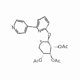 CC(=O)O[C@@H]1[C@@H](OC(C)=O)[C@H](OC(C)=O)CS[C@H]1Oc1cccc(-c2ccncc2)n1